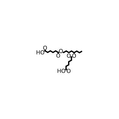 CCCC(CCCCOC(=O)CCCCC(=O)O)OC(=O)CCCCC(=O)O